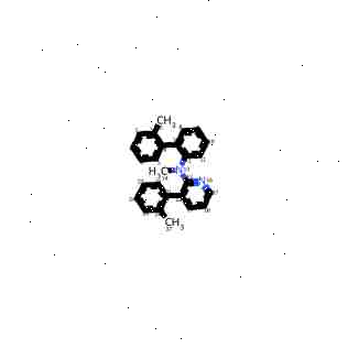 Cc1ccccc1-c1ccccc1N(C)c1ncccc1-c1ccccc1C